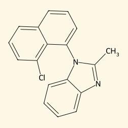 Cc1nc2ccccc2n1-c1cccc2cccc(Cl)c12